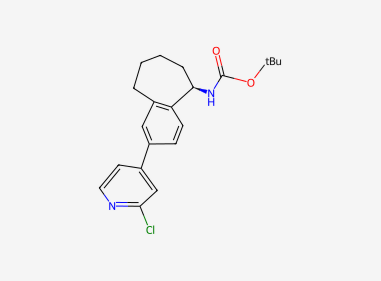 CC(C)(C)OC(=O)N[C@@H]1CCCCc2cc(-c3ccnc(Cl)c3)ccc21